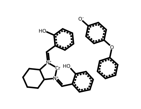 Oc1ccccc1C=[N+]1[Cr][N+](=Cc2ccccc2O)C2CCCCC21.[O-]c1ccc(Oc2ccccc2)cc1